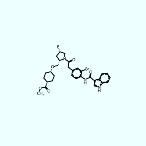 COC(=O)[C@H]1CC[C@H](OC[C@@H]2C[C@H](F)CN2C(=O)Cc2ccc(NC(=O)c3c[nH]c4ccccc34)c(Br)c2)CC1